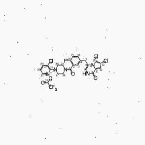 O=C(c1cc(Cc2c[nH]c(=O)c3cc(Cl)c(Cl)n23)ccc1F)N1CCN(c2c(Cl)ccc[n+]2OC(=O)C(F)(F)F)CC1